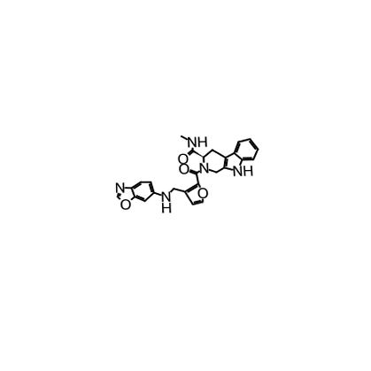 CNC(=O)[C@H]1Cc2c([nH]c3ccccc23)CN1C(=O)c1occc1CNc1ccc2ncoc2c1